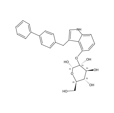 OC[C@H]1O[C@H](O)[C@@](O)(Oc2cccc3[nH]cc(Cc4ccc(-c5ccccc5)cc4)c23)[C@@H](O)[C@@H]1O